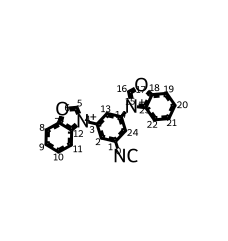 [C-]#[N+]c1cc(-[n+]2coc3ccccc32)cc(-[n+]2coc3ccccc32)c1